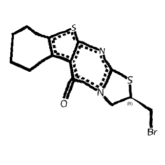 O=c1c2c3c(sc2nc2n1C[C@H](CBr)S2)CCCC3